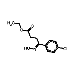 CCOC(=O)CCC(=NO)c1ccc(Cl)cc1